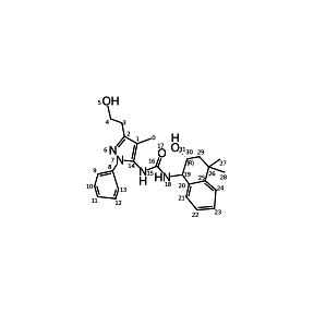 Cc1c(CCO)nn(-c2ccccc2)c1NC(=O)NC1c2ccccc2C(C)(C)C[C@H]1O